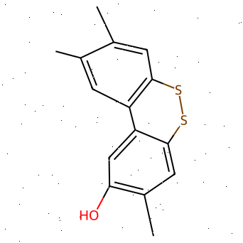 Cc1cc2c(cc1C)-c1cc(O)c(C)cc1SS2